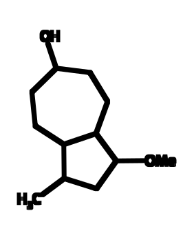 COC1CC(C)C2CCC(O)CCC12